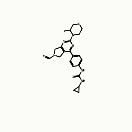 C[C@H]1COCCN1c1nc2c(c(-c3ccc(NC(=O)NC4CC4)cc3)n1)CN(C=O)C2